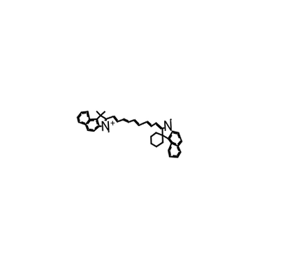 CN1/C(=C/C=C/C=C/C=C/C=C/C2=[N+](C)c3ccc4ccccc4c3C2(C)C)C2(CCCCC2)c2c1ccc1ccccc21